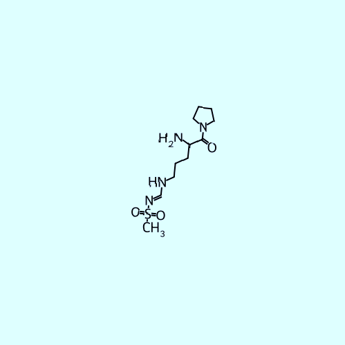 CS(=O)(=O)N=CNCCCC(N)C(=O)N1CCCC1